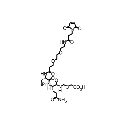 CC(C)C[C@H](NC(=O)CCOCCOCCNC(=O)CCN1C(=O)C=CC1=O)C(=O)N[C@@H](CCC(N)=O)C(=O)NCOCC(=O)O